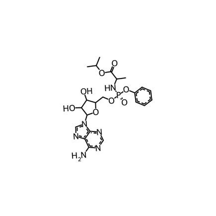 CC(C)OC(=O)C(C)NP(=O)(OCC1OC(n2cnc3c(N)ncnc32)C(O)C1O)Oc1ccccc1